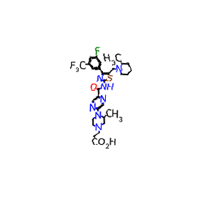 C[C@@H]1CCCCN1Cc1sc(NC(=O)c2cnc(N3CCN(CCC(=O)O)C[C@@H]3C)cn2)nc1-c1cc(F)cc(C(F)(F)F)c1